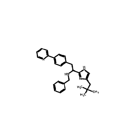 CC(C)(C)Cc1c[nH]c(C(Cc2ccc(-c3ccccn3)cc2)NCc2ccccc2)n1